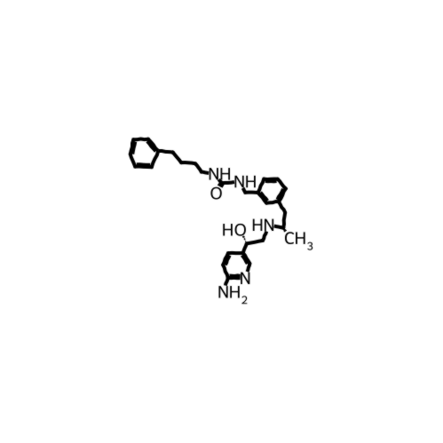 C[C@H](Cc1cccc(CNC(=O)NCCCCc2ccccc2)c1)NC[C@@H](O)c1ccc(N)nc1